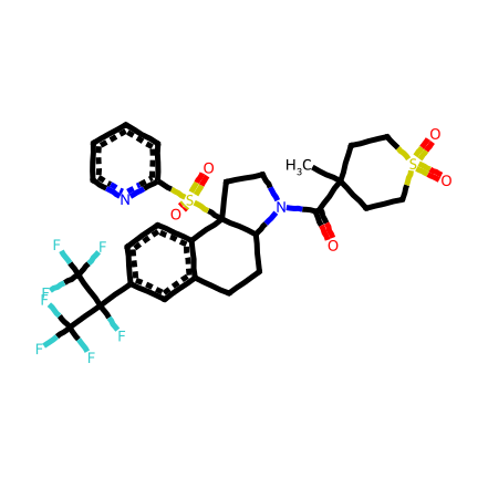 CC1(C(=O)N2CCC3(S(=O)(=O)c4ccccn4)c4ccc(C(F)(C(F)(F)F)C(F)(F)F)cc4CCC23)CCS(=O)(=O)CC1